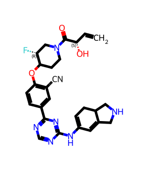 C=C[C@H](O)C(=O)N1CCC(Oc2ccc(-c3ncnc(NC4=CCC5CNCC5=C4)n3)cc2C#N)[C@H](F)C1